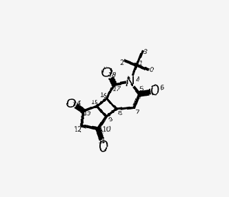 CC(C)(C)N1C(=O)CC2C3C(=O)CC(=O)C3C2C1=O